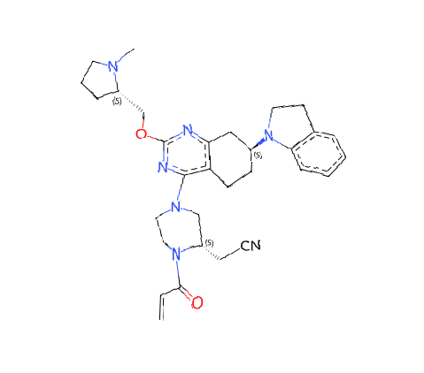 C=CC(=O)N1CCN(c2nc(OC[C@@H]3CCCN3C)nc3c2CC[C@H](N2CCc4ccccc42)C3)C[C@@H]1CC#N